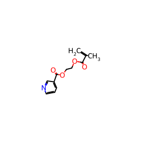 C=C(C)C(=O)OCCOC(=O)c1cccnc1